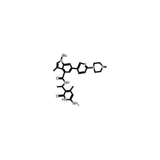 CCC(C)n1cc(C)c2c(C(=O)NC(C)c3c(C)cc(N)[nH]c3=O)cc(-c3ccc(N4CCN(C)CC4)nc3)cc21